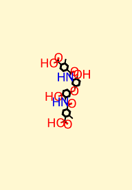 Cc1cc(C(=O)Nc2cc(Oc3ccc(O)c(NC(=O)c4ccc(C(=O)O)c(C)c4)c3)ccc2O)ccc1C(=O)O